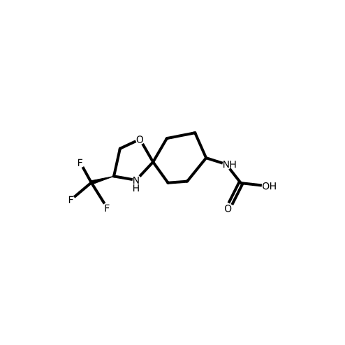 O=C(O)NC1CCC2(CC1)N[C@@H](C(F)(F)F)CO2